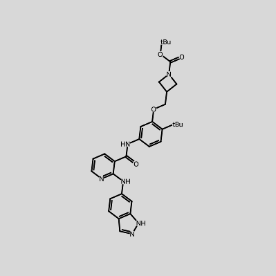 CC(C)(C)OC(=O)N1CC(COc2cc(NC(=O)c3cccnc3Nc3ccc4cn[nH]c4c3)ccc2C(C)(C)C)C1